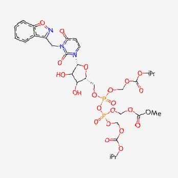 COC(=O)OCOP(=O)(OCOC(=O)OC(C)C)OP(=O)(OCOC(=O)OC(C)C)OC[C@H]1O[C@@H](n2ccc(=O)n(Cc3noc4ccccc34)c2=O)C(O)C1O